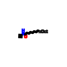 CCCCCCCCCCCCCCCC(=O)NC1CCC1